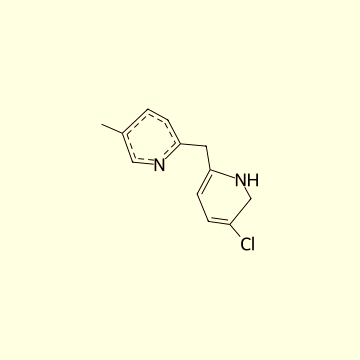 Cc1ccc(CC2=CC=C(Cl)CN2)nc1